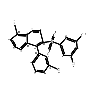 O=S(=O)(c1cc(Cl)cc(Cl)c1)c1ccc2c(F)cccc2c1-c1cccc(Cl)c1